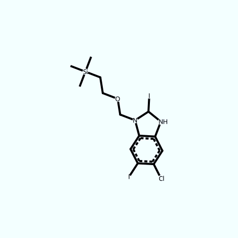 C[Si](C)(C)CCOCN1c2cc(I)c(Cl)cc2NC1I